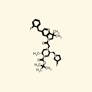 C[C@@H]1CN(CC(=O)N2CC(C)(C)c3ncc(Cc4ccccc4F)cc32)[C@@H](CN2CCC(F)C2)CN1C(=O)OC(C)(C)C